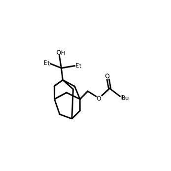 CCC(C)C(=O)OCC12CC3CC(C1)CC(C(O)(CC)CC)(C3)C2